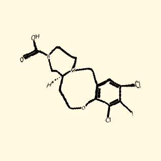 O=C(O)N1CCN2Cc3cc(Cl)c(I)c(Cl)c3OCC[C@H]2C1